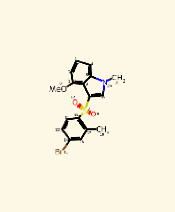 COc1cccc2c1c(S(=O)(=O)c1ccc(Br)cc1C)cn2C